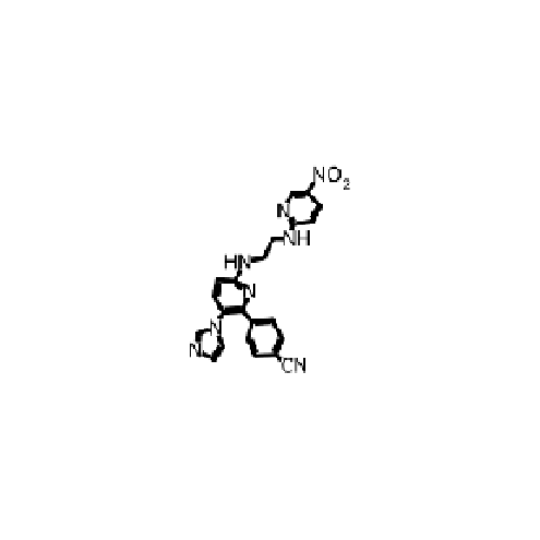 N#Cc1ccc(-c2nc(NCCNc3ccc([N+](=O)[O-])cn3)ccc2-n2ccnc2)cc1